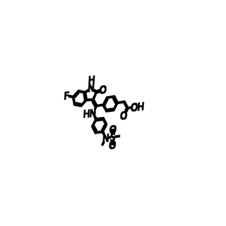 CN(c1ccc(NC(=C2C(=O)Nc3cc(F)ccc32)c2ccc(CC(=O)O)cc2)cc1)S(C)(=O)=O